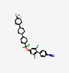 CC1CCC(C2CCC(C3CCC(C(F)(F)Oc4cc(F)c(-c5ccc(C#N)cc5)c(F)c4)CC3)CC2)CC1